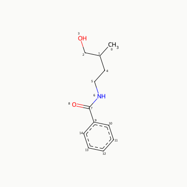 CC(CO)CCNC(=O)c1ccccc1